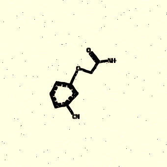 N#Cc1cccc(OCC([NH])=O)c1